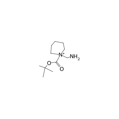 CC(C)(C)OC(=O)[N+]1(CN)CCCCC1